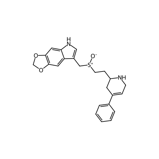 [O-][S+](CCC1CC(c2ccccc2)=CCN1)Cc1c[nH]c2cc3c(cc12)OCO3